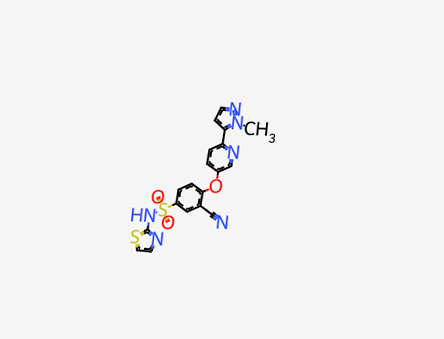 Cn1nccc1-c1ccc(Oc2ccc(S(=O)(=O)Nc3nccs3)cc2C#N)cn1